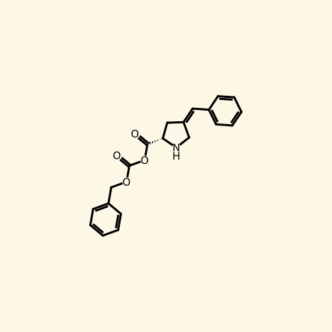 O=C(OCc1ccccc1)OC(=O)[C@@H]1CC(=Cc2ccccc2)CN1